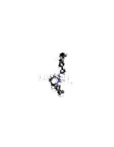 C/C(=C\c1cc(F)cc(N2CCN(C(=O)Cn3cccn3)CC2)c1)[C@H]1OC(=O)C[C@H](O)CC[C@H](C)[C@H](OC(=O)N2CCOCC2)/C=C/[C@@H]1C